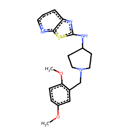 COc1ccc(OC)c(CN2CCC(Nc3nc4cccnc4s3)CC2)c1